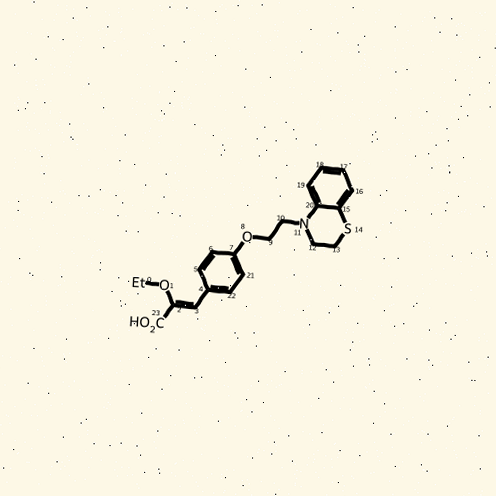 CCOC(=Cc1ccc(OCCN2CCSc3ccccc32)cc1)C(=O)O